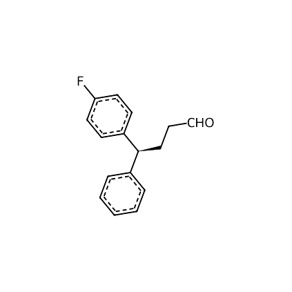 O=CCC[C@@H](c1ccccc1)c1ccc(F)cc1